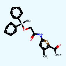 COC(=O)c1sc(NC(=O)CO[Si](c2ccccc2)(c2ccccc2)C(C)(C)C)cc1C